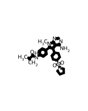 C=C(C)C(=O)Nc1ccc(-c2c(C3=CC[C@H](S(=O)(=O)N4CCCC4)CC3)c3c(N)ncnc3n2C)cc1